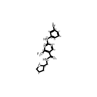 O=C(NCC1CCCO1)c1cnc(Nc2cccc(Br)c2)nc1C(F)(F)F